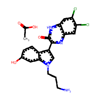 CC(=O)O.NCCCn1cc(-c2nc3cc(Cl)c(Cl)cc3[nH]c2=O)c2ccc(O)cc21